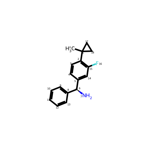 CC1(c2ccc([C@@H](N)c3ccccc3)cc2F)CC1